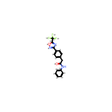 O=C(Cc1ccc(-c2noc(C(F)(F)F)n2)cc1)Nc1ccccc1